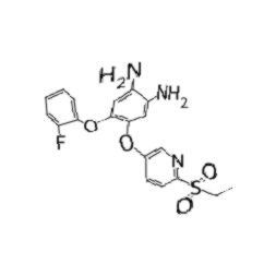 CCS(=O)(=O)c1ccc(Oc2cc(N)c(N)cc2Oc2ccccc2F)cn1